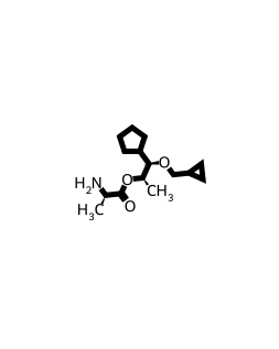 C[C@H](N)C(=O)O[C@@H](C)[C@H](OCC1CC1)C1CCCC1